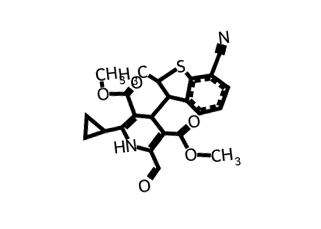 COC(=O)C1=C(C=O)NC(C2CC2)=C(C(=O)OC)C1C1c2cccc(C#N)c2SC1C